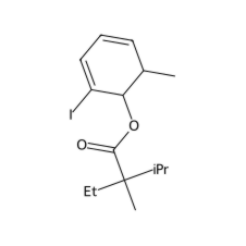 CCC(C)(C(=O)OC1C(I)=CC=CC1C)C(C)C